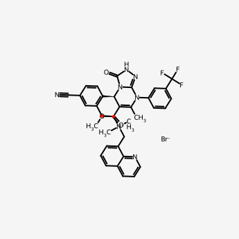 COC(=O)C1=C(C)N(c2cccc(C(F)(F)F)c2)c2n[nH]c(=O)n2[C@@H]1c1ccc(C#N)cc1CC[N+](C)(C)Cc1cccc2cccnc12.[Br-]